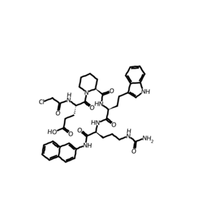 NC(=O)NCCC[C@H](NC(=O)[C@H](CCc1c[nH]c2ccccc12)NC(=O)[C@@H]1CCCCN1C(=O)[C@H](CCC(=O)O)NC(=O)CCl)C(=O)Nc1ccc2ccccc2c1